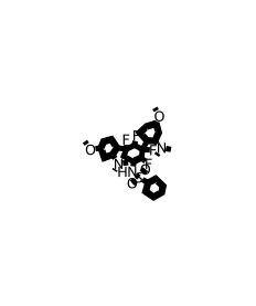 COc1ccc(C2(F)CC(NS(=O)(=O)c3ccccc3)=C(F)C(F)(c3ccc(OC)cc3N(C)C)C2F)c(N(C)C)c1